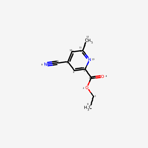 CCOC(=O)c1cc(C#N)cc(C)n1